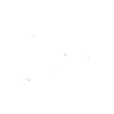 O=[N+]([O-])c1cccc([N+](=O)[O-])c1.c1cncnc1